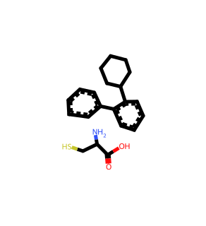 NC(CS)C(=O)O.c1ccc(-c2ccccc2C2CCCCC2)cc1